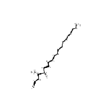 CCCCCCCCCCCCC/C=C/[C@@H](O)[C@@H](N)CC=O